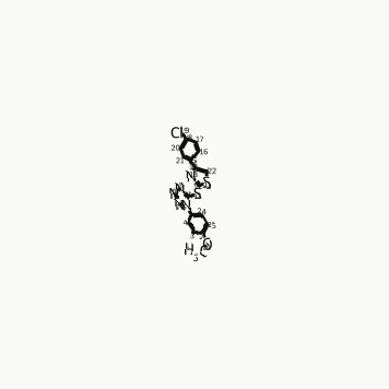 COc1ccc(-n2nnnc2Sc2nc(-c3ccc(Cl)cc3)cs2)cc1